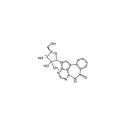 CC1(O)C(n2cc3c4c(ncnc42)NC(=O)c2ccccc2-3)O[C@H](CO)[C@H]1O